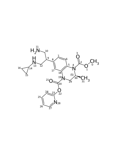 COC(=O)N1c2ccc(C(CN)CNC3CC3)cc2N(C(=O)Oc2ccccn2)C[C@@H]1C